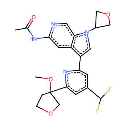 COC1(c2cc(C(F)F)cc(-c3cn(C4COC4)c4cnc(NC(C)=O)cc34)n2)CCOC1